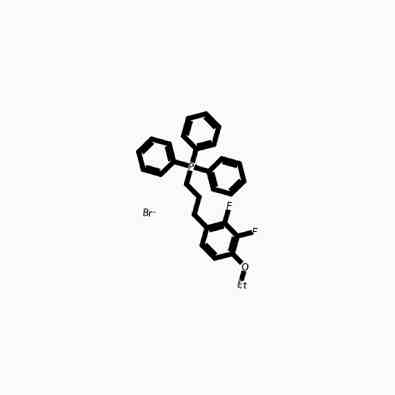 CCOc1ccc(CCC[P+](c2ccccc2)(c2ccccc2)c2ccccc2)c(F)c1F.[Br-]